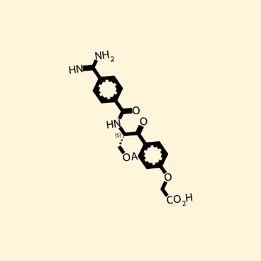 CC(=O)OC[C@H](NC(=O)c1ccc(C(=N)N)cc1)C(=O)c1ccc(OCC(=O)O)cc1